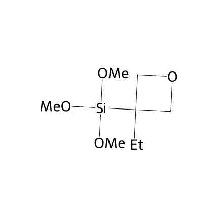 CCC1([Si](OC)(OC)OC)COC1